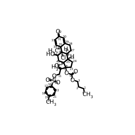 CCCCOC(=O)O[C@]1(C(=O)COS(=O)(=O)c2ccc(C)cc2)CC[C@H]2[C@@H]3CCC4=CC(=O)C=C[C@]4(C)[C@@]3(Cl)C(O)C[C@@]21C